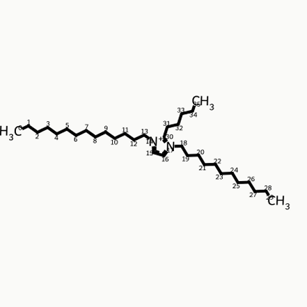 CCCCCCCCCCCCCC[n+]1ccn(CCCCCCCCCCCC)c1CCCCC